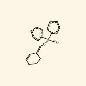 CC(C)(C)[Si](OC=C1C=CCCC1)(c1ccccc1)c1ccccc1